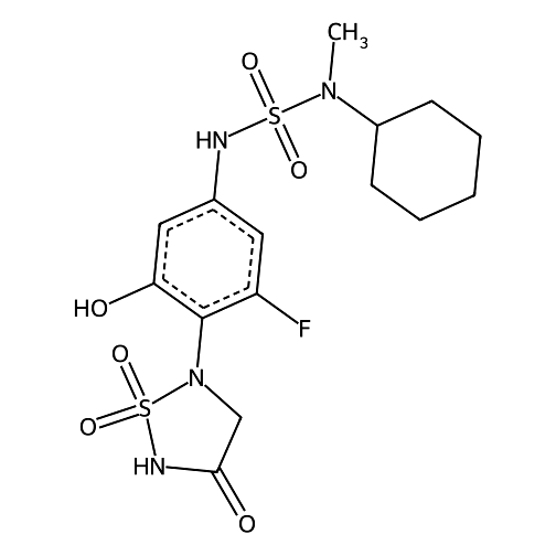 CN(C1CCCCC1)S(=O)(=O)Nc1cc(O)c(N2CC(=O)NS2(=O)=O)c(F)c1